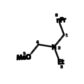 CCCCN(CC)COC